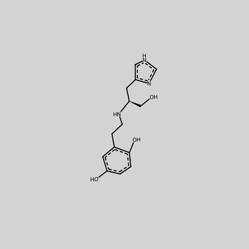 OC[C@H](Cc1c[nH]cn1)NCCc1cc(O)ccc1O